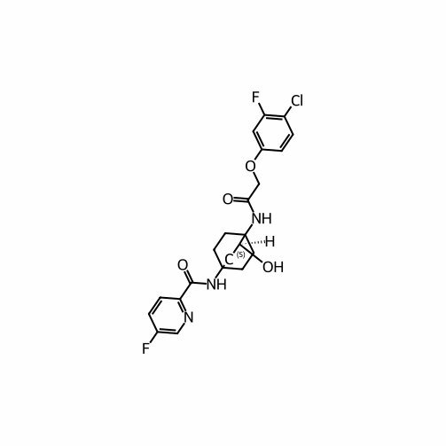 O=C(COc1ccc(Cl)c(F)c1)NC12CCC(NC(=O)c3ccc(F)cn3)(CC1)C[C@@H]2O